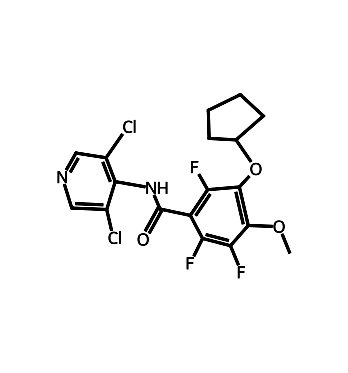 COc1c(F)c(F)c(C(=O)Nc2c(Cl)cncc2Cl)c(F)c1OC1CCCC1